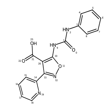 O=C(Nc1ccccc1)Nc1onc(-c2ccccn2)c1C(=O)O